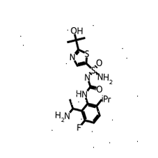 CC(C)c1ccc(F)c(C(C)N)c1NC(=O)N=S(N)(=O)c1cnc(C(C)(C)O)s1